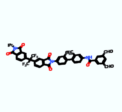 CC(C)N1C(=O)c2ccc(C(c3ccc4c(c3)C(=O)N(c3ccc(-c5ccc(NC(=O)c6cc(C=O)cc(C=O)c6)cc5C(F)(F)F)c(C(F)(F)F)c3)C4=O)(C(F)(F)F)C(F)(F)F)cc2C1=O